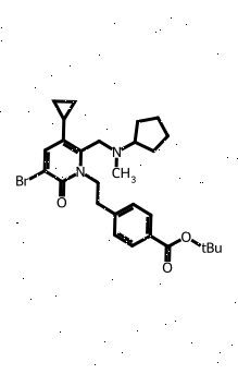 CN(Cc1c(C2CC2)cc(Br)c(=O)n1CCc1ccc(C(=O)OC(C)(C)C)cc1)C1CCCC1